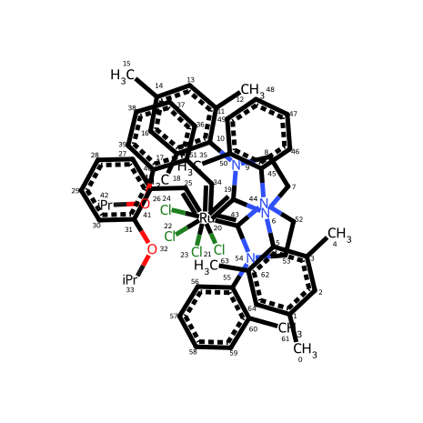 Cc1cc(C)c(N2CCN(c3c(C)cc(C)cc3C)[C]2=[Ru]([Cl])([Cl])([Cl])([Cl])(=[CH]c2ccccc2OC(C)C)(=[CH]c2ccccc2OC(C)C)=[C]2N(c3ccccc3C)CCN2c2ccccc2C)c(C)c1